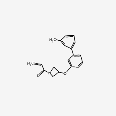 C=CC(=O)N1CC(Oc2cccc(-c3cccc(C)c3)c2)C1